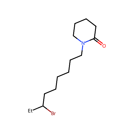 CCC(Br)CCCCCCN1CCCCC1=O